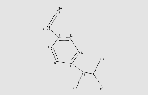 CC(C)C(C)c1ccc(N=O)cc1